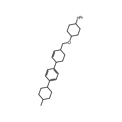 CCCC1CCC(OCC2C=CC(c3ccc(C4CCC(C)CC4)cc3)CC2)CC1